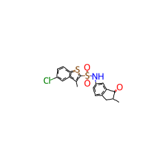 Cc1c(S(=O)(=O)Nc2ccc3c(c2)C(=O)C(C)C3)sc2ccc(Cl)cc12